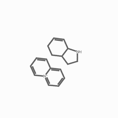 C1=CC2NCCC2CC1.c1cc[n+]2ccccc2c1